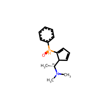 C[C@H](C1C=CC=C1[PH](=O)c1ccccc1)N(C)C